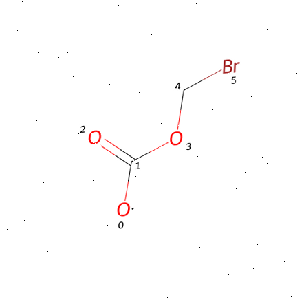 [O]C(=O)OCBr